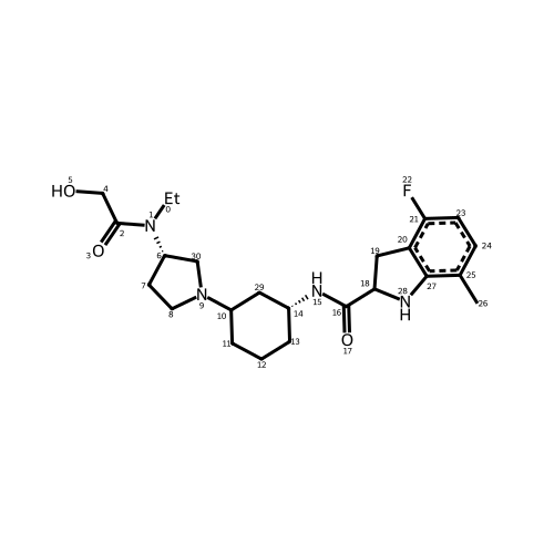 CCN(C(=O)CO)[C@H]1CCN(C2CCC[C@@H](NC(=O)C3Cc4c(F)ccc(C)c4N3)C2)C1